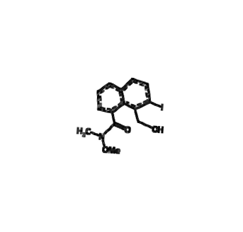 CON(C)C(=O)c1cccc2ccc(I)c(CO)c12